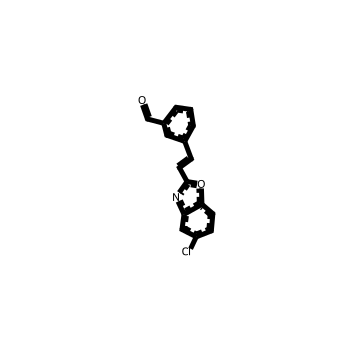 O=Cc1cccc(C=Cc2nc3cc(Cl)ccc3o2)c1